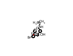 CN(C)CCNC(=O)c1cccc(-c2ccc(-c3ccc(Br)cc3)n2-c2cnccc2C(F)(F)F)c1.Cl